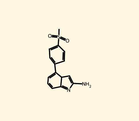 CS(=O)(=O)c1ccc(C2=CC=CC3=NC(N)=CC23)cc1